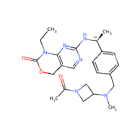 CCN1C(=O)OCc2cnc(N[C@@H](C)c3ccc(CN(C)C4CN(C(C)=O)C4)cc3)nc21